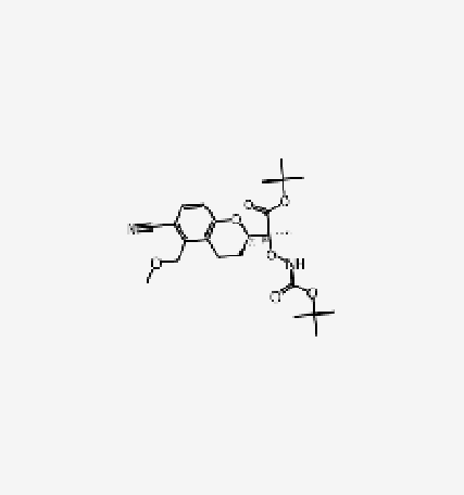 COCc1c(C#N)ccc2c1CC[C@H]([C@](C)(ONC(=O)OC(C)(C)C)C(=O)OC(C)(C)C)O2